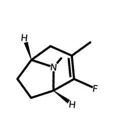 CC1=C(F)[C@@H]2CC[C@H](C1)N2C